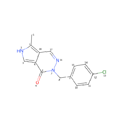 Cc1[nH]cc2c(=O)n(Cc3ccc(Cl)cc3)ncc12